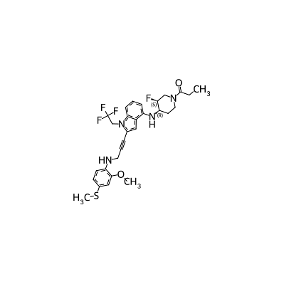 CCC(=O)N1CC[C@@H](Nc2cccc3c2cc(C#CCNc2ccc(SC)cc2OC)n3CC(F)(F)F)[C@@H](F)C1